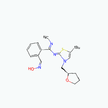 CC(C)(C)c1cn(C[C@H]2CCCO2)/c(=N/C(=N/C#N)c2ccccc2/C=N\O)s1